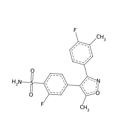 Cc1cc(-c2noc(C)c2-c2ccc(S(N)(=O)=O)c(F)c2)ccc1F